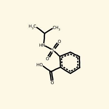 CC(C)NS(=O)(=O)c1ccccc1C(=O)O